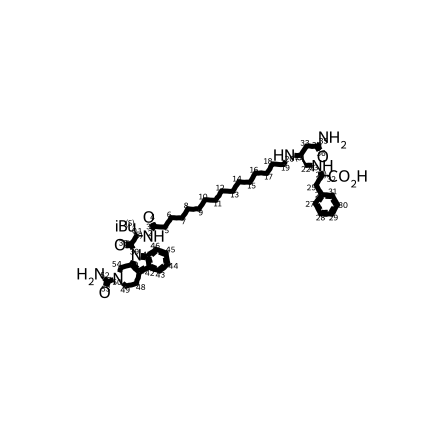 CC[C@H](C)[C@H](NC(=O)CCCCCCCCCCCCCCCN[C@H](CN[C@@H](Cc1ccccc1)C(=O)O)CC(N)=O)C(=O)n1c2c(c3ccccc31)CCN(C(N)=O)C2